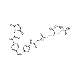 N[C@@H](C[C@@H](CCCC(=O)NCC(=O)Nc1ccc(/N=N\c2ccc(NC(=O)CN3C(=O)C=CC3=O)cc2)cc1)C(=O)O)C(=O)O